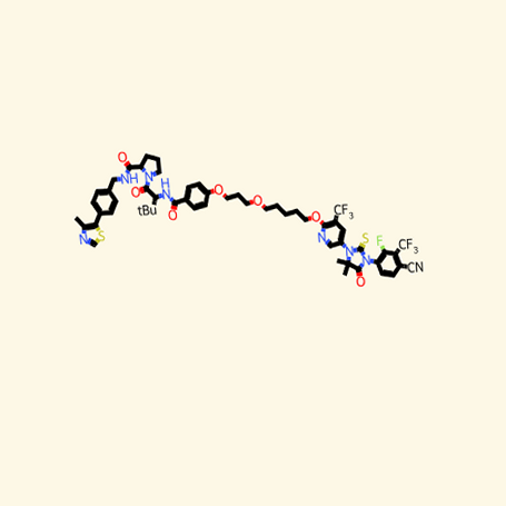 Cc1ncsc1-c1ccc(CNC(=O)C2CCCN2C(=O)C(NC(=O)c2ccc(OCCCOCCCCCOc3ncc(N4C(=S)N(c5ccc(C#N)c(C(F)(F)F)c5F)C(=O)C4(C)C)cc3C(F)(F)F)cc2)C(C)(C)C)cc1